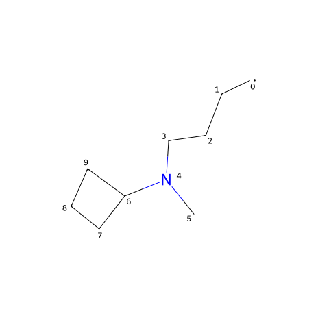 [CH2]CCCN(C)C1CCC1